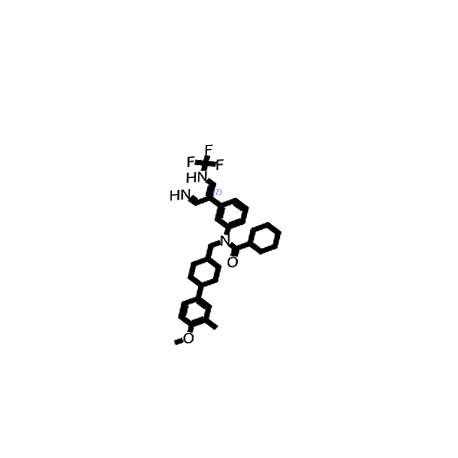 COc1ccc(C2CCC(CN(C(=O)C3CCCCC3)c3cccc(/C(C=N)=C/NC(F)(F)F)c3)CC2)cc1C